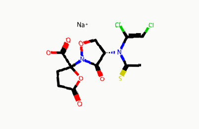 CC(=S)N(C(Cl)=CCl)[C@H]1CON(C2(C(=O)[O-])CCC(=O)O2)C1=O.[Na+]